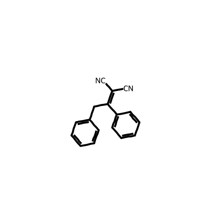 N#CC(C#N)=C(Cc1ccccc1)c1ccccc1